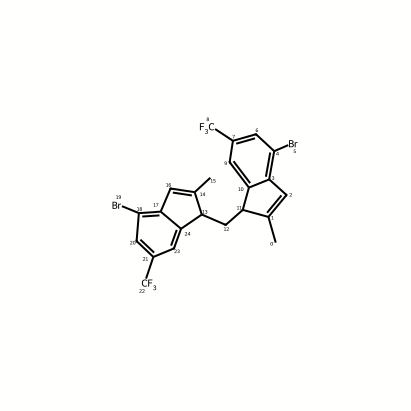 CC1=Cc2c(Br)cc(C(F)(F)F)cc2C1CC1C(C)=Cc2c(Br)cc(C(F)(F)F)cc21